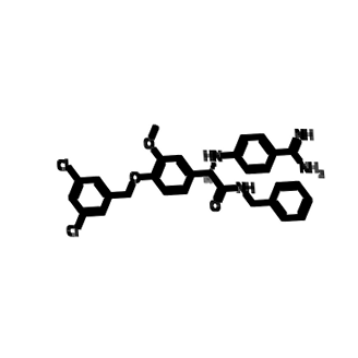 COc1cc([C@H](Nc2ccc(C(=N)N)cc2)C(=O)NCc2ccccc2)ccc1OCc1cc(Cl)cc(Cl)c1